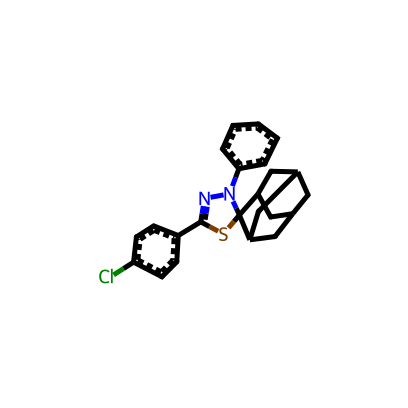 Clc1ccc(C2=NN(c3ccccc3)C3(S2)C2CC4CC(C2)CC3C4)cc1